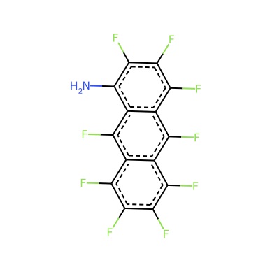 Nc1c(F)c(F)c(F)c2c(F)c3c(F)c(F)c(F)c(F)c3c(F)c12